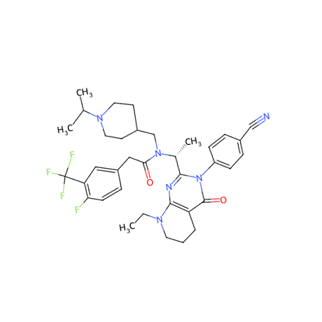 CCN1CCCc2c1nc([C@@H](C)N(CC1CCN(C(C)C)CC1)C(=O)Cc1ccc(F)c(C(F)(F)F)c1)n(-c1ccc(C#N)cc1)c2=O